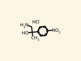 CC(O)(CN)c1ccc([N+](=O)[O-])cc1.Cl